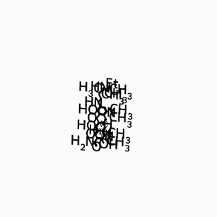 CCC(C)(C)NC(C)(C)CCNc1cc(N(C)C)c2c(c1O)C(=O)C1=C(O)[C@H]3C(=O)C(C(N)=O)=C(O)[C@@H](N(C)C)[C@@H]3C[C@@H]1C2